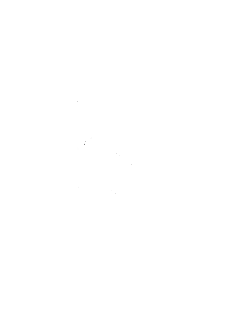 CN1CCC[C@@H]([AsH]c2nnc(-c3ccc(Cl)cc3O)n3ccnc23)C1.O=CO